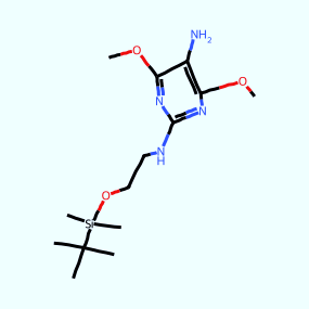 COc1nc(NCCO[Si](C)(C)C(C)(C)C)nc(OC)c1N